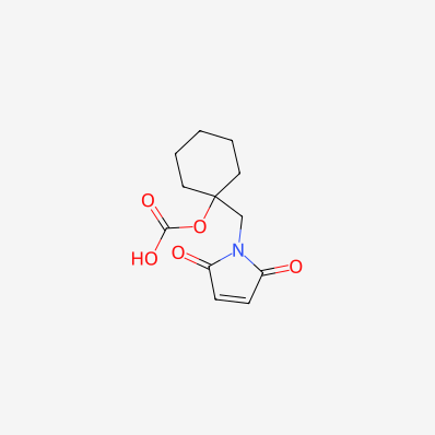 O=C(O)OC1(CN2C(=O)C=CC2=O)CCCCC1